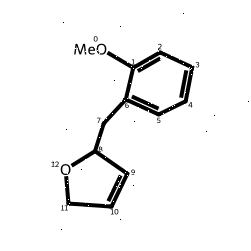 COc1ccccc1CC1C=CCO1